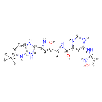 CC(NC(=O)c1cc(Nc2ccon2)ncn1)c1cc(-c2nc3ccc(C4(C)CC4)nc3[nH]2)no1